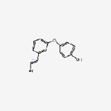 CC(=O)/C=C/c1cccc(Oc2ccc(O)cc2)c1